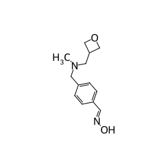 CN(Cc1ccc(/C=N/O)cc1)CC1COC1